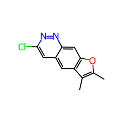 Cc1oc2cc3nnc(Cl)cc3cc2c1C